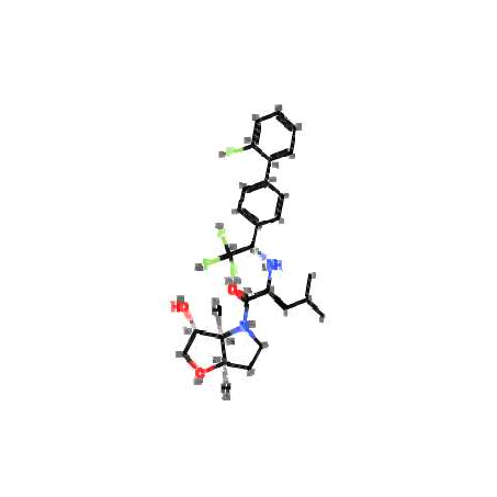 CC(C)C[C@H](N[C@@H](c1ccc(-c2ccccc2F)cc1)C(F)(F)F)C(=O)N1CC[C@H]2OC[C@H](O)[C@H]21